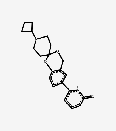 O=c1cccc(-c2ccc3c(c2)COC2(CCN(C4CCC4)CC2)O3)[nH]1